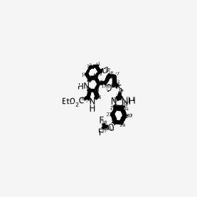 CCOC(=O)c1[nH]cc2c1NC1=C(C(=O)CCC1)C2c1ccc(Sc2nc3cc(OC(F)F)ccc3[nH]2)o1